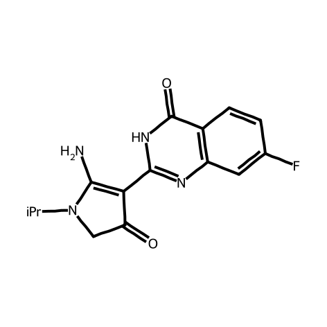 CC(C)N1CC(=O)C(c2nc3cc(F)ccc3c(=O)[nH]2)=C1N